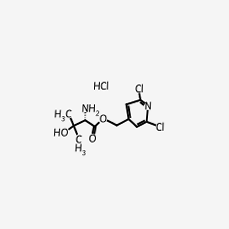 CC(C)(O)[C@H](N)C(=O)OCc1cc(Cl)nc(Cl)c1.Cl